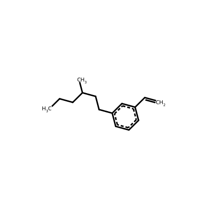 C=Cc1cccc(CCC(C)CCC)c1